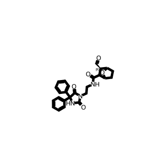 O=C[C@H]1C2CCC(O2)C1C(=O)NCCN1C(=O)NC(c2ccccc2)(c2ccccc2)C1=O